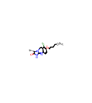 CC(=O)OCCCCOc1ccc2c(c1Cl)CN1C(=N2)NC(=O)C1C(C)C